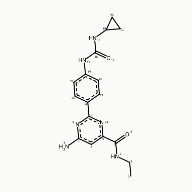 CCNC(=O)c1cc(N)nc(-c2ccc(NC(=O)NC3CC3)cc2)n1